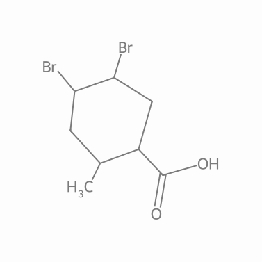 CC1CC(Br)C(Br)CC1C(=O)O